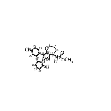 CCC(=O)NC1CCCOc2c1nn(-c1ccccc1Cl)c2-c1ccc(Cl)cc1